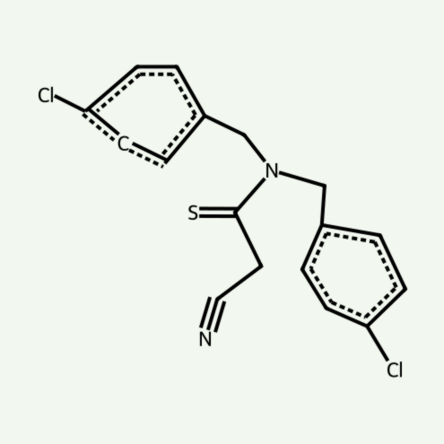 N#CCC(=S)N(Cc1ccc(Cl)cc1)Cc1ccc(Cl)cc1